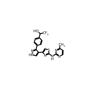 Cc1ccnc(Nc2nc(-c3c[nH]nc3-c3ccc(C(O)C(F)(F)F)cc3)cs2)n1